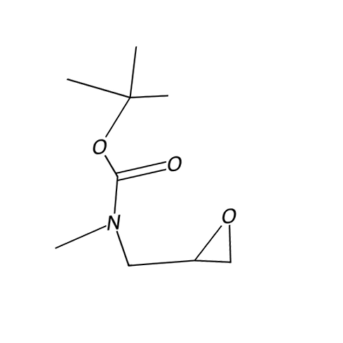 CN(CC1CO1)C(=O)OC(C)(C)C